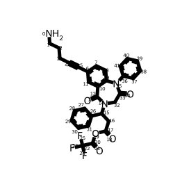 NCCCC#Cc1ccc2c(c1)C(=O)N(C(CC(=O)OC(=O)C(F)(F)F)c1ccccc1)CC(=O)N2c1ccccc1